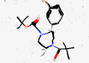 C[C@@H]1CN(C(=O)OC(C)(C)C)[C@H](c2cccc(Br)c2)CN1C(=O)C(C)(C)C